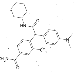 CN(C)c1ccc(C(C(=O)NC2CCCCC2)c2ccc(C(N)=O)cc2C(F)(F)F)cc1